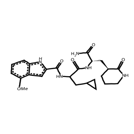 COc1cccc2[nH]c(C(=O)NC(CC3CC3)C(=O)N[C@@H](C[C@@H]3CCCNC3=O)C(N)=O)cc12